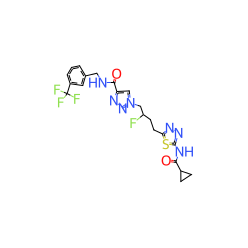 O=C(NCc1cccc(C(F)(F)F)c1)c1cn(CC(F)CCc2nnc(NC(=O)C3CC3)s2)nn1